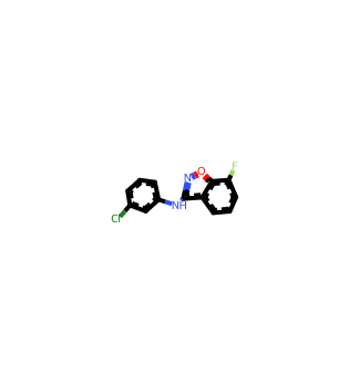 Fc1cccc2c(Nc3cccc(Cl)c3)noc12